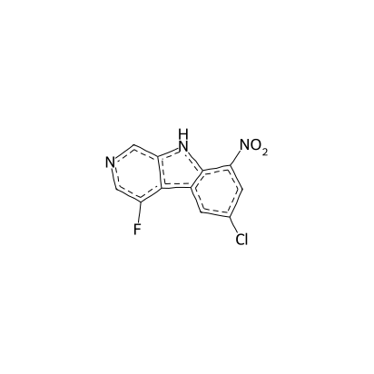 O=[N+]([O-])c1cc(Cl)cc2c1[nH]c1cncc(F)c12